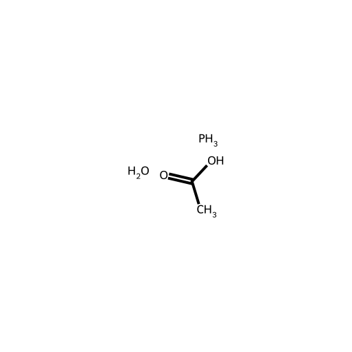 CC(=O)O.O.P